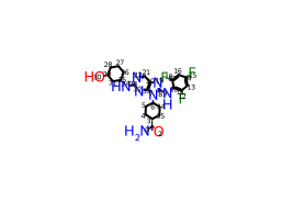 NC(=O)[C@H]1CC[C@@H](n2c(Nc3c(F)cc(F)cc3F)nc3cnc(N[C@@H]4CCC[C@H](O)C4)nc32)CC1